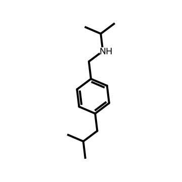 CC(C)Cc1ccc(CNC(C)C)cc1